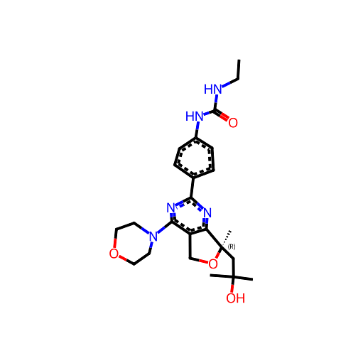 CCNC(=O)Nc1ccc(-c2nc(N3CCOCC3)c3c(n2)[C@@](C)(CC(C)(C)O)OC3)cc1